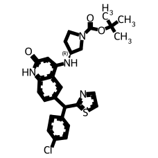 CC(C)(C)OC(=O)N1CC[C@@H](Nc2cc(=O)[nH]c3ccc(C(c4ccc(Cl)cc4)c4nccs4)cc23)C1